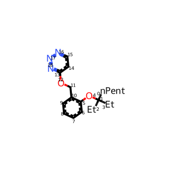 CCCCCC(CC)(CC)Oc1ccccc1COc1ccnnn1